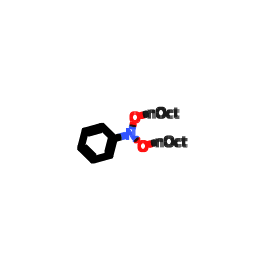 CCCCCCCCON(OCCCCCCCC)c1ccccc1